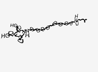 CC(C)CCCC(=O)NCCOCCOCCOCCOCCOCCOCCOCCOCCNCN1CCN(CC=O)CCN(CC(=O)O)CCN(CC(=O)O)CC1